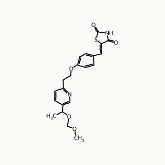 COCOC(C)c1ccc(CCOc2ccc(/C=C3\SC(=O)NC3=O)cc2)nc1